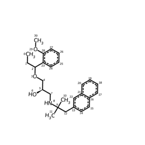 CCC(OC[C@H](O)CNC(C)(C)Cc1ccc2ccccc2c1)c1ccccc1OC